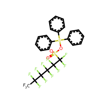 O=S(=O)(OS(c1ccccc1)(c1ccccc1)c1ccccc1)C(F)(F)C(F)(F)C(F)(F)C(F)(F)C(F)(F)C(F)(F)F